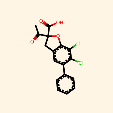 CC(=O)C1(C(=O)O)Cc2cc(-c3ccccc3)c(Cl)c(Cl)c2O1